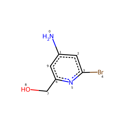 Nc1cc(Br)nc(CO)c1